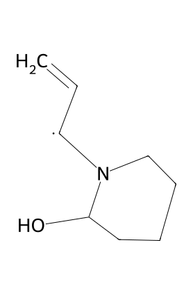 C=C[CH]N1CCCCC1O